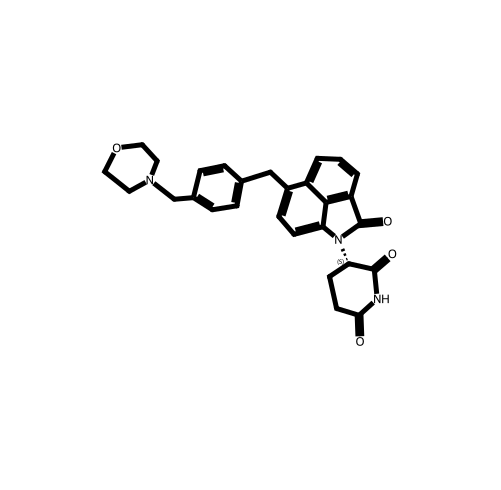 O=C1CC[C@H](N2C(=O)c3cccc4c(Cc5ccc(CN6CCOCC6)cc5)ccc2c34)C(=O)N1